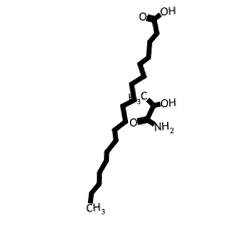 CC(O)C(N)=O.CCCCCCCCCCCCCCCCCC(=O)O